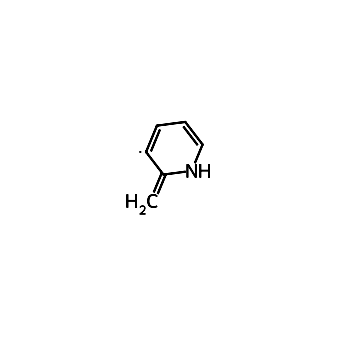 C=C1[C]=CC=CN1